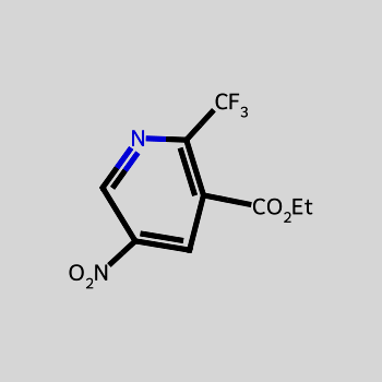 CCOC(=O)c1cc([N+](=O)[O-])cnc1C(F)(F)F